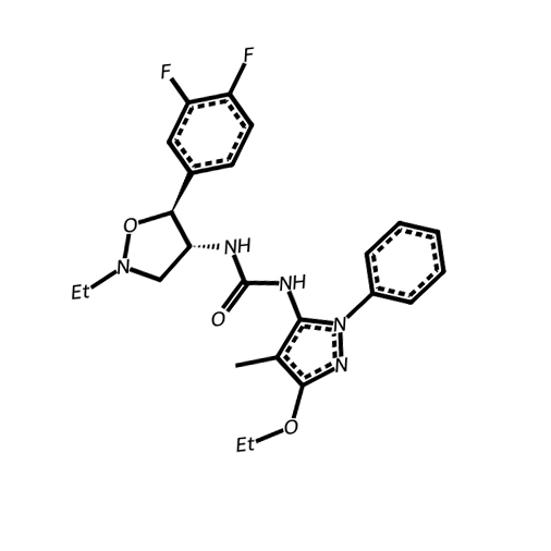 CCOc1nn(-c2ccccc2)c(NC(=O)N[C@@H]2CN(CC)O[C@H]2c2ccc(F)c(F)c2)c1C